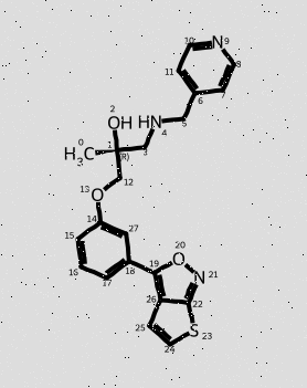 C[C@@](O)(CNCc1ccncc1)COc1cccc(-c2onc3sccc23)c1